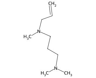 C=CCN(C)CCCN(C)C